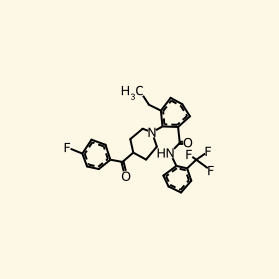 CCc1cccc(C(=O)Nc2ccccc2C(F)(F)F)c1N1CCC(C(=O)c2ccc(F)cc2)CC1